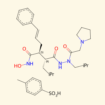 CC(C)C[C@@H](C(=O)NN(CC(C)C)C(=O)CN1CCCC1)[C@H](CC=Cc1ccccc1)C(=O)NO.Cc1ccc(S(=O)(=O)O)cc1